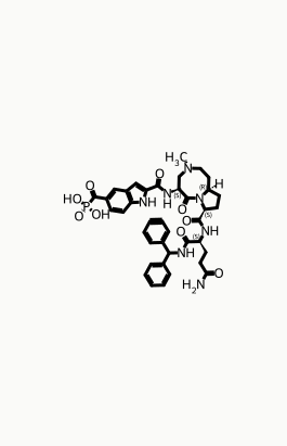 CN1CC[C@H]2CC[C@@H](C(=O)N[C@@H](CCC(N)=O)C(=O)NC(c3cc#ccc3)c3ccccc3)N2C(=O)[C@@H](NC(=O)c2cc3cc(C(=O)P(=O)(O)O)ccc3[nH]2)C1